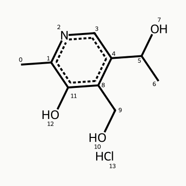 Cc1ncc(C(C)O)c(CO)c1O.Cl